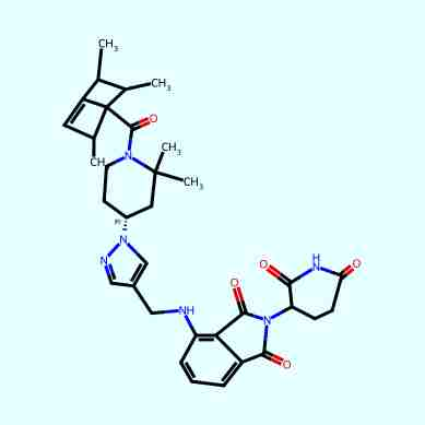 CC1C2=CC(C)C2(C(=O)N2CC[C@@H](n3cc(CNc4cccc5c4C(=O)N(C4CCC(=O)NC4=O)C5=O)cn3)CC2(C)C)C1C